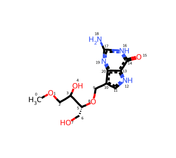 COCC(O)[C@@H](CO)OCc1c[nH]c2c(=O)[nH]c(N)nc12